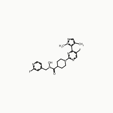 Cc1cnn(C)c1-c1nc(N2CCC(C(=O)N(O)Cc3ccnc(F)c3)CC2)ncc1F